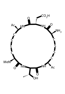 CN[C@H]1CSSC[C@@H](C(C)=O)NC(=O)[C@H](CC(=O)O)NC(=O)[C@@H](N)CSSC[C@@H](C(C)=O)NC(=O)C([C@@H](C)O)NC1=O